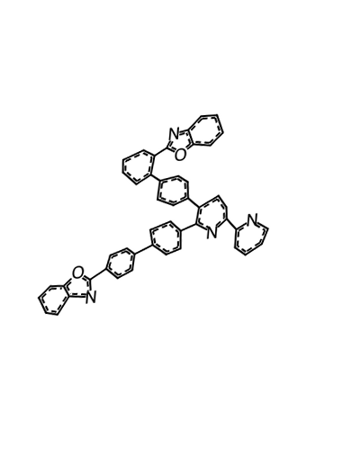 c1ccc(-c2ccc(-c3ccc(-c4ccccc4-c4nc5ccccc5o4)cc3)c(-c3ccc(-c4ccc(-c5nc6ccccc6o5)cc4)cc3)n2)nc1